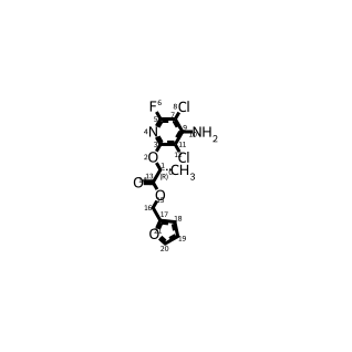 C[C@@H](Oc1nc(F)c(Cl)c(N)c1Cl)C(=O)OCc1ccco1